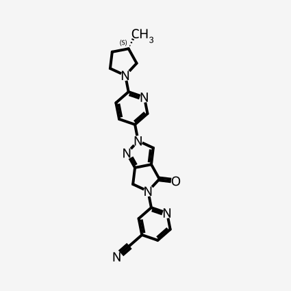 C[C@H]1CCN(c2ccc(-n3cc4c(n3)CN(c3cc(C#N)ccn3)C4=O)cn2)C1